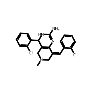 CN1CC2=C(N=C(N)NC2c2ccccc2Cl)/C(=C\c2ccccc2Cl)C1